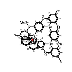 CSN1c2cc3c(cc2B2c4sc5ccccc5c4Oc4cc(C)cc1c42)B1c2cc4c(cc2Oc2cc(C)cc(c21)O3)Nc1cc(C)cc2c1B4c1sc3ccccc3c1O2